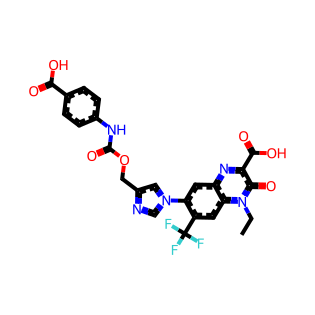 CCn1c(=O)c(C(=O)O)nc2cc(-n3cnc(COC(=O)Nc4ccc(C(=O)O)cc4)c3)c(C(F)(F)F)cc21